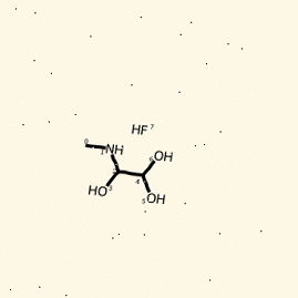 CNC(O)C(O)O.F